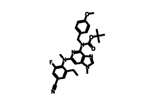 CCc1cc(C#N)cc(F)c1N(C)c1cc2c(ncn2C)c(N(Cc2ccc(OC)cc2)C(=O)OC(C)(C)C)n1